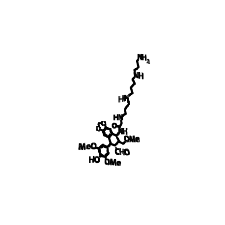 COCC1C(NC(=O)CNCCCNCCCCNCCCN)c2cc3c(cc2C(c2cc(OC)c(O)c(OC)c2)[C@H]1C=O)OCO3